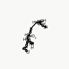 Cc1ncsc1-c1ccc(CNC(=O)[C@@H]2C[C@@H](O)CN2C(=O)[C@@H](NCCCCCCCCCCN2CCC(N3CCC(CNc4ccc(S(=O)(=O)NC(=O)c5ccc(N6CCN(CC7=C(c8ccc(Cl)cc8)CC(C)(C)CC7)CC6)cc5Oc5cnc6[nH]ccc6c5)cc4[N+](=O)[O-])CC3)CC2)C(C)(C)C)cc1